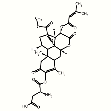 COC(=O)[C@@]12C[C@H](O)C3[C@@]4(C)CC(=O)C(OC(=O)[C@@H](N)CC(=O)O)=C(C)C4C[C@H]4OC(=O)[C@H](OC(=O)C=C(C)C)[C@@H]1[C@@]34CO2